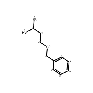 CCC(S)CCOCc1ccccc1